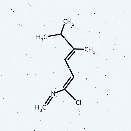 C=N/C(Cl)=C\C=C(/C)C(C)C